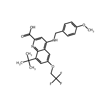 COc1ccc(CNc2cc(C(=O)O)nc3c(C(C)(C)C)cc(OCC(F)(F)F)cc23)cc1